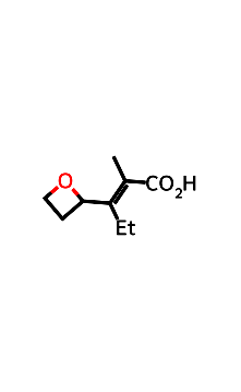 CCC(=C(C)C(=O)O)C1CCO1